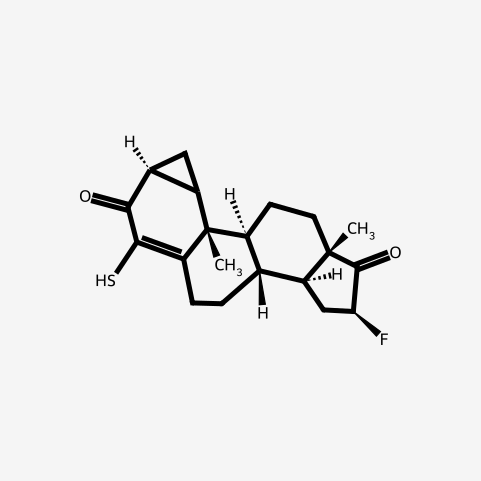 C[C@]12CC[C@H]3[C@@H](CCC4=C(S)C(=O)[C@H]5CC5[C@@]43C)[C@@H]1C[C@H](F)C2=O